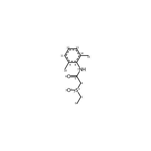 CC[S+]([O-])CC(=O)Nc1c(C)cccc1C